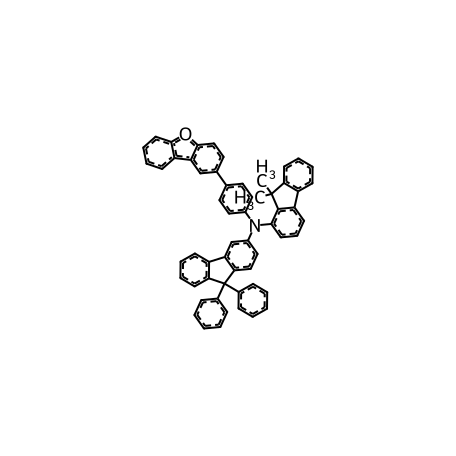 CC1(C)c2ccccc2-c2cccc(N(c3ccc(-c4ccc5oc6ccccc6c5c4)cc3)c3ccc4c(c3)-c3ccccc3C4(c3ccccc3)c3ccccc3)c21